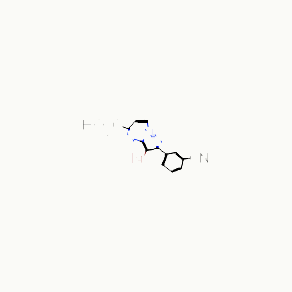 N#Cc1cccc(-c2nn3ccc(C(=O)O)nc3c2Br)c1